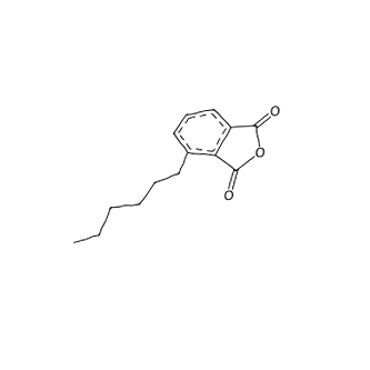 CCCCCCc1cccc2c1C(=O)OC2=O